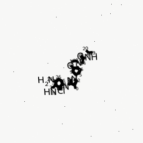 Cc1cn(-c2ccc3c(c2)OCCN3CC(=O)NC(C)C)nc1Nc1ccc(N)c(C=N)c1Cl